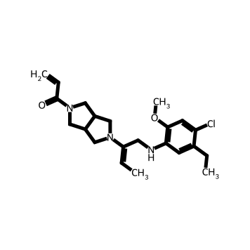 C=CC(=O)N1CC2CN(C(=CC)CNc3cc(CC)c(Cl)cc3OC)CC2C1